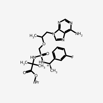 CCCOC(=O)C(C)(C)NP(=O)(COC(C)Cn1cnc2c(N)ncnc21)N[C@H](C)c1cccc(F)c1